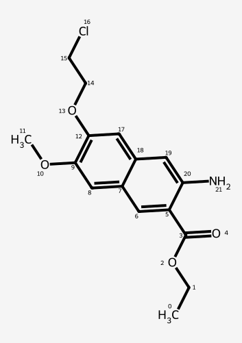 CCOC(=O)c1cc2cc(OC)c(OCCCl)cc2cc1N